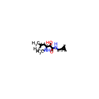 CNC(CC(C)C)C(O)C(=O)NCC1CC1